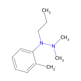 [CH2]c1ccccc1N(CCC)N(C)C